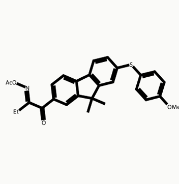 CCC(=NOC(C)=O)C(=O)c1ccc2c(c1)C(C)(C)c1cc(Sc3ccc(OC)cc3)ccc1-2